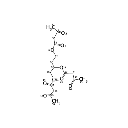 CC(=O)CC(=O)OCCC(COC(=O)CC(C)=O)OC(=O)CC(C)=O